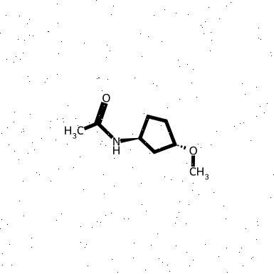 CO[C@H]1CC[C@H](NC(C)=O)C1